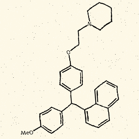 COc1ccc(C(c2ccc(OCCN3CCCCC3)cc2)c2cccc3ccccc23)cc1